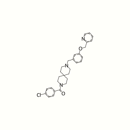 O=C(c1ccc(Cl)cc1)N1CCC2(CCN(Cc3cccc(OCc4ccccn4)c3)CC2)CC1